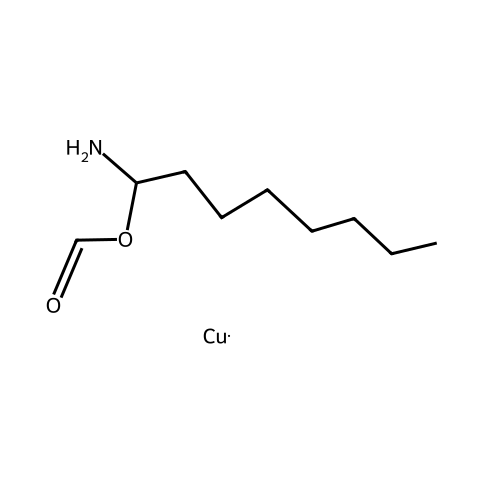 CCCCCCCC(N)OC=O.[Cu]